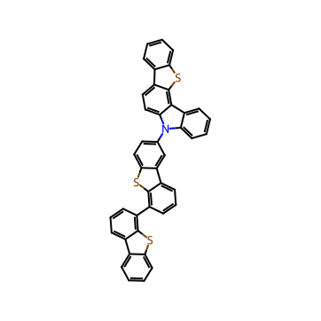 c1ccc2c(c1)sc1c(-c3cccc4c3sc3ccc(-n5c6ccccc6c6c7sc8ccccc8c7ccc65)cc34)cccc12